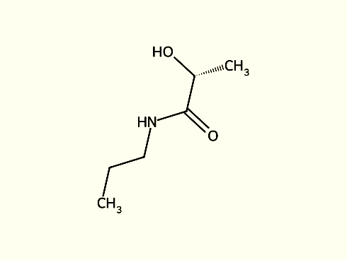 CCCNC(=O)[C@@H](C)O